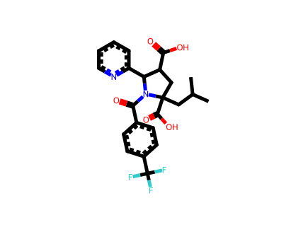 CC(C)CC1(C(=O)O)CC(C(=O)O)C(c2ccccn2)N1C(=O)c1ccc(C(F)(F)F)cc1